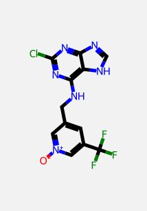 [O-][n+]1cc(CNc2nc(Cl)nc3nc[nH]c23)cc(C(F)(F)F)c1